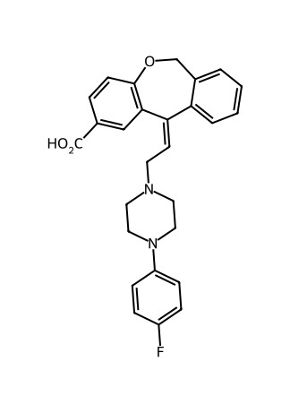 O=C(O)c1ccc2c(c1)C(=CCN1CCN(c3ccc(F)cc3)CC1)c1ccccc1CO2